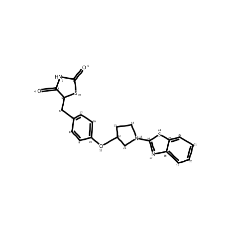 O=C1NC(=O)C(Cc2ccc(OC3CCN(c4nc5ccccc5s4)C3)cc2)S1